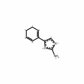 Nc1ncc(C2=CCCC=C2)o1